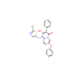 O=c1c(-c2ccccc2)c(O)[n+](Cc2cnc(Cl)s2)c2ccc(Oc3ccc(F)cc3)cn12